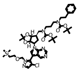 CC(C)(C)OC(=O)N(CCCN(C[C@H]1C[C@@H](n2cc(-c3c(Cl)cnn3COCC[Si](C)(C)C)c3cncnc32)[C@@H]2OC(C)(C)O[C@H]12)C(=O)OC(C)(C)C)CCc1ccccc1